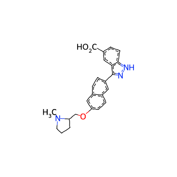 CN1CCCC1COc1ccc2cc(-c3n[nH]c4ccc(C(=O)O)cc34)ccc2c1